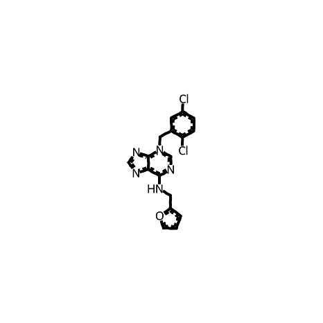 Clc1ccc(Cl)c(Cn2cnc(NCc3ccco3)c3ncnc2-3)c1